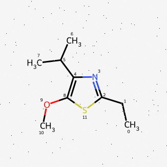 CCc1nc(C(C)C)c(OC)s1